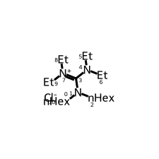 CCCCCCN(CCCCCC)C(N(CC)CC)=[N+](CC)CC.[Cl-]